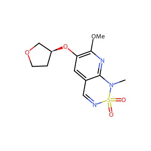 COc1nc2c(cc1O[C@H]1CCOC1)C=NS(=O)(=O)N2C